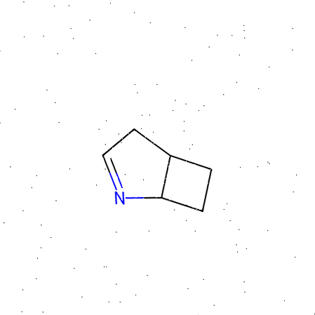 C1=NC2CCC2C1